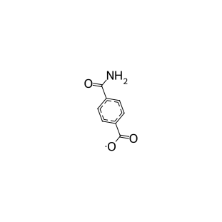 NC(=O)c1ccc(C([O])=O)cc1